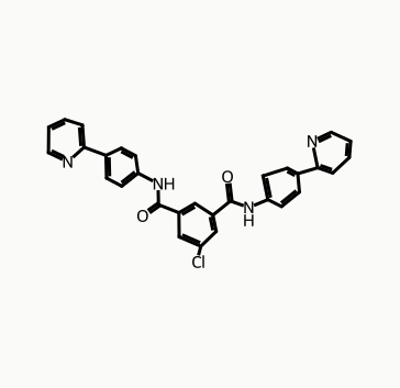 O=C(Nc1ccc(-c2ccccn2)cc1)c1cc(Cl)cc(C(=O)Nc2ccc(-c3ccccn3)cc2)c1